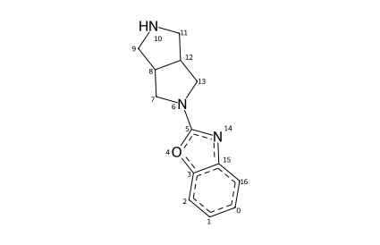 c1ccc2oc(N3CC4CNCC4C3)nc2c1